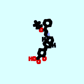 CC(C)(C)[Si](C)(C)O[C@@H](/C=C/[C@H]1CC[C@H]2CC(=C3CCC(C(=O)O)C(=O)C3)C[C@@H]21)C1CCCCC1